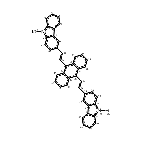 CCn1c2ccccc2c2cc(C=Cc3c4ccccc4c(C=Cc4ccc5c(c4)c4ccccc4n5CC)c4ccccc34)ccc21